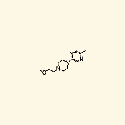 COCCN1CCN(c2cnc(C)cn2)CC1